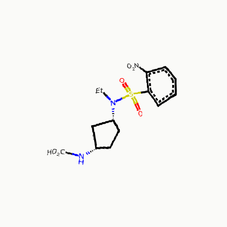 CCN([C@@H]1CC[C@H](NC(=O)O)C1)S(=O)(=O)c1ccccc1[N+](=O)[O-]